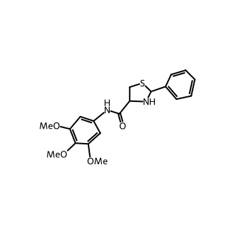 COc1cc(NC(=O)C2CSC(c3ccccc3)N2)cc(OC)c1OC